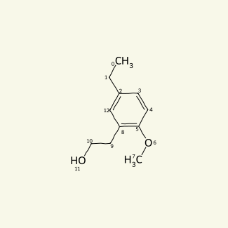 CCc1ccc(OC)c(CCO)c1